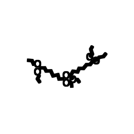 CCCOC(CCCCCCC(OCC)OC(CCCCCCC(OCCC)OCCC)OCC)OCCC